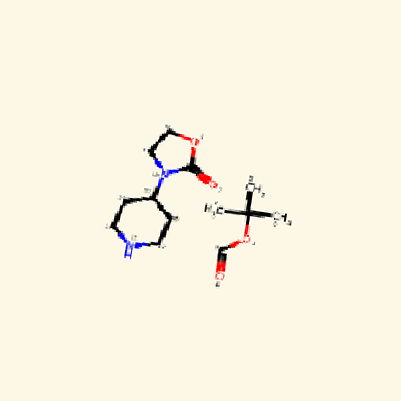 CC(C)(C)OC=O.O=C1OCCN1C1CCNCC1